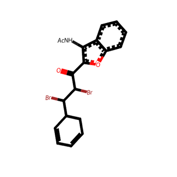 CC(=O)Nc1c(C(=O)C(Br)C(Br)C2C=CC=CC2)oc2ccccc12